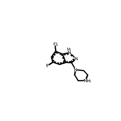 Fc1cc(Cl)c2[nH]nc(N3CCNCC3)c2c1